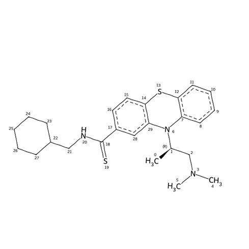 C[C@H](CN(C)C)N1c2ccccc2Sc2ccc(C(=S)NCC3CCCCC3)cc21